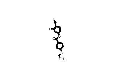 CCOc1ccc(C(=O)Oc2ccc(C#N)c(F)c2)cc1